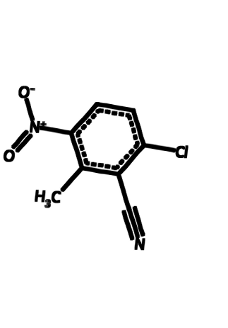 Cc1c([N+](=O)[O-])ccc(Cl)c1C#N